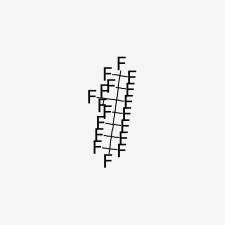 FC(F)(F)C(F)(F)C(F)(F)C(F)(F)C(F)(C(F)(F)F)C(F)(F)C(F)(F)F